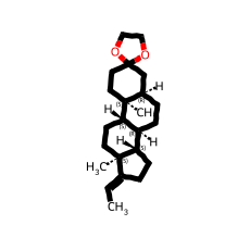 CC=C1CC[C@H]2[C@@H]3CC[C@@H]4CC5(CC[C@]4(C)[C@H]3CC[C@]12C)OCCO5